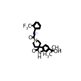 CC(C)(O)c1ccc2c(c1)NC(=O)C21CCN(C(=O)/C=C/c2ccccc2C(F)(F)F)CC1